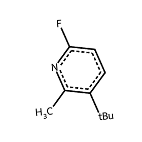 Cc1nc(F)ccc1C(C)(C)C